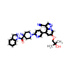 CC(C)(O)COc1cc(-c2ccc(N3CCC(N)(C(=O)N4CCc5ccccc54)CC3)nc2)c2c(C#N)cnn2c1